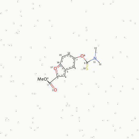 COC(=O)c1cc2cc(OC(=S)N(C)C)ccc2o1